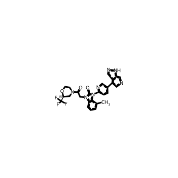 Cc1cccc2c1n(-c1ccc(-c3cncc4[nH]ncc34)cn1)c(=O)n2CC(=O)N1CCO[C@H](C(F)(F)F)C1